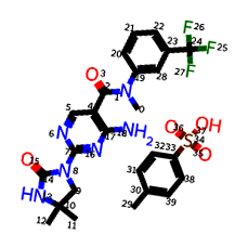 CN(C(=O)c1cnc(N2CC(C)(C)NC2=O)nc1N)c1cccc(C(F)(F)F)c1.Cc1ccc(S(=O)(=O)O)cc1